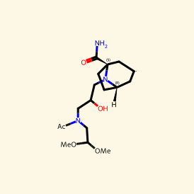 COC(CN(CC(O)CN1[C@@H]2C[CH]C[C@@]1(C(N)=O)CC2)C(C)=O)OC